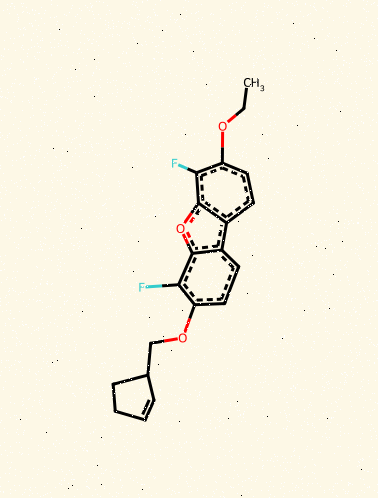 CCOc1ccc2c(oc3c(F)c(OCC4C=CCC4)ccc32)c1F